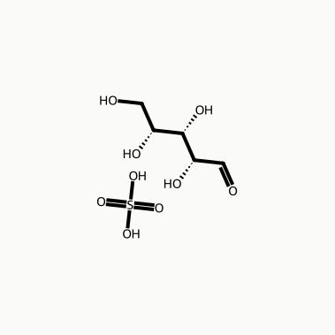 O=C[C@H](O)[C@@H](O)[C@H](O)CO.O=S(=O)(O)O